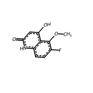 COc1c(F)ccc2[nH]c(=O)cc(O)c12